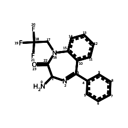 NC1N=C(c2ccccc2)c2ccccc2N(CC(F)(F)F)C1=O